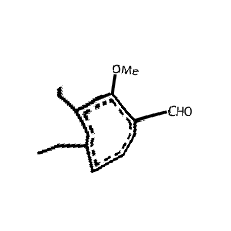 COc1c(C=O)ccc(C)c1C